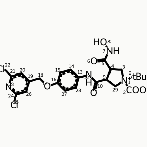 CC(C)(C)[N+]1(C(=O)[O-])CC(C(=O)NO)C(C(=O)Nc2ccc(OCc3cc(Cl)nc(Cl)c3)cc2)C1